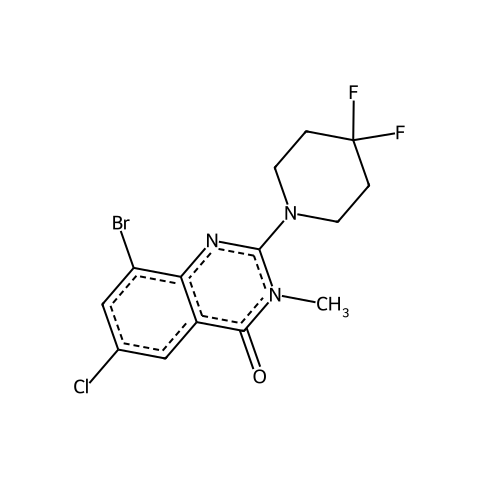 Cn1c(N2CCC(F)(F)CC2)nc2c(Br)cc(Cl)cc2c1=O